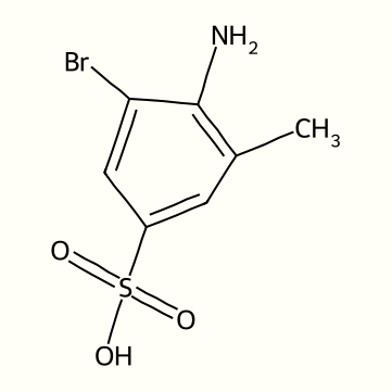 Cc1cc(S(=O)(=O)O)cc(Br)c1N